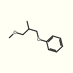 COCC(C)COc1cc[c]cc1